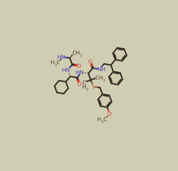 CN[C@@H](C)C(=O)N[C@H](C(=O)N[C@H](C(=O)NCC(c1ccccc1)c1ccccc1)C(C)(C)SCc1ccc(OC)cc1)C1CCCCC1